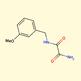 COc1cccc(CNC(=O)C(N)=O)c1